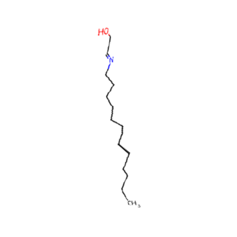 CCCCCCCCCCCCN=CCO